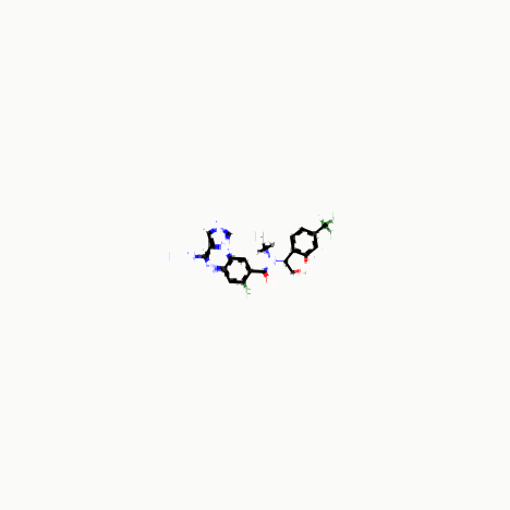 [2H]C([2H])([2H])N(C(=O)c1cc2c(cc1F)nc(N)c1cncn12)[C@@H]1COc2cc(C(F)(F)F)ccc21